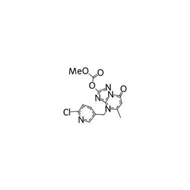 COC(=O)Oc1nc2n(Cc3ccc(Cl)nc3)c(C)cc(=O)n2n1